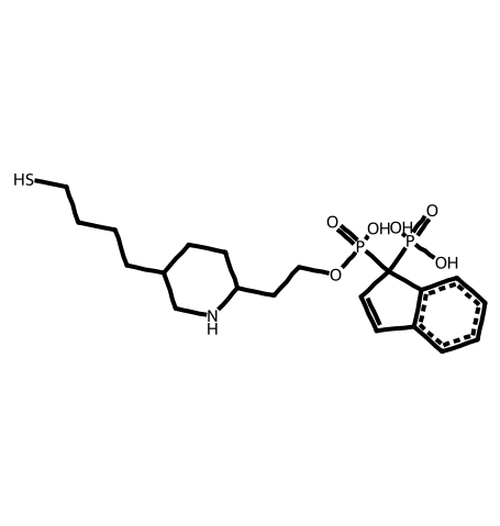 O=P(O)(O)C1(P(=O)(O)OCCC2CCC(CCCCS)CN2)C=Cc2ccccc21